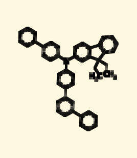 CCC1(CC)c2ccccc2-c2ccc(N(c3ccc(-c4ccccc4)cc3)c3ccc(-c4cccc(-c5ccccc5)c4)cc3)cc21